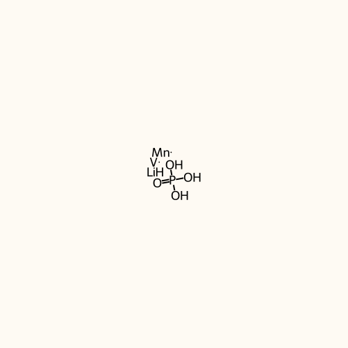 O=P(O)(O)O.[LiH].[Mn].[V]